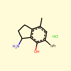 CCCc1cc(C)c2c(c1O)C(N)CC2.Cl